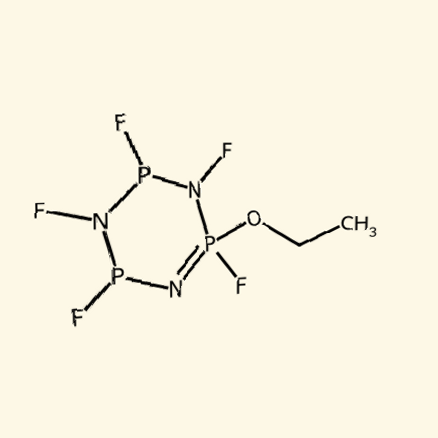 CCOP1(F)=NP(F)N(F)P(F)N1F